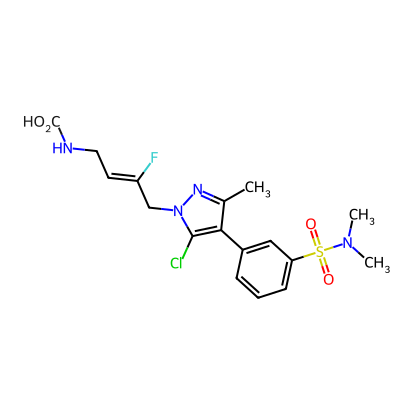 Cc1nn(CC(F)=CCNC(=O)O)c(Cl)c1-c1cccc(S(=O)(=O)N(C)C)c1